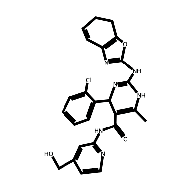 CC1=C(C(=O)Nc2cc(CO)ccn2)C(c2ccccc2Cl)N=C(Nc2nc3c(o2)CCC=C3)N1